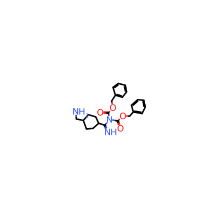 N=C(C1CCC(CN)CC1)N(C(=O)OCc1ccccc1)C(=O)OCc1ccccc1